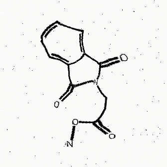 [N]OC(=O)CN1C(=O)c2ccccc2C1=O